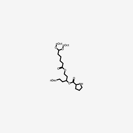 CCCCCCCCCCCCC(CCOC(=O)CCCCC(OCCCCCCCC)OCCCCCCCC)OC(=O)C1CCCN1